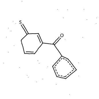 O=C(C1=CC(=S)CC=C1)c1ccccc1